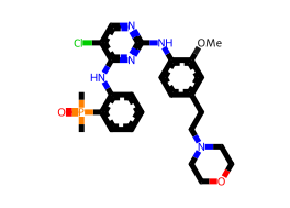 COc1cc(CCN2CCOCC2)ccc1Nc1ncc(Cl)c(Nc2ccccc2P(C)(C)=O)n1